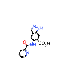 O=C(Nc1cc2cn[nH]c2cc1C(=O)O)c1ccccn1